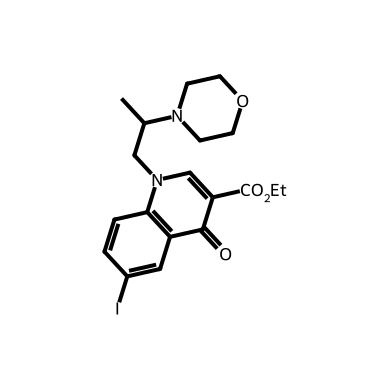 CCOC(=O)c1cn(CC(C)N2CCOCC2)c2ccc(I)cc2c1=O